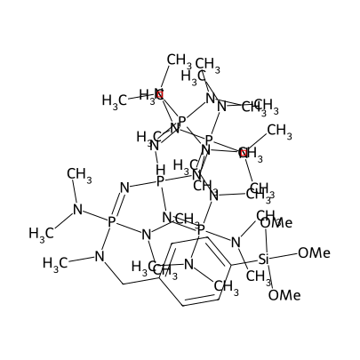 CO[Si](OC)(OC)c1ccc(CN(C)P(=N[PH](N=P(N(C)C)(N(C)C)N(C)C)(N=P(N(C)C)(N(C)C)N(C)C)N=P(N(C)C)(N(C)C)N(C)C)(N(C)C)N(C)C)cc1